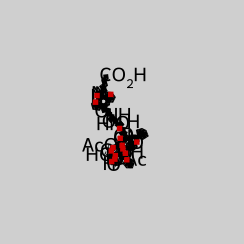 CC(=O)O[C@H]1C(=O)[C@@]2(C)[C@H]([C@H](OC(=O)c3ccccc3)[C@]3(O)C[C@H](OC(=O)[C@H](OC(=O)CCC(=O)NCC(=O)NCCC(=O)C4Cc5ccccc5-c5c(nnn5CCCCCC(=O)O)-c5ccccc54)C(NC(=O)c4ccccc4)c4ccccc4)C(C)=C1C3(C)C)[C@]1(OC(C)=O)CO[C@@H]1C[C@@H]2O